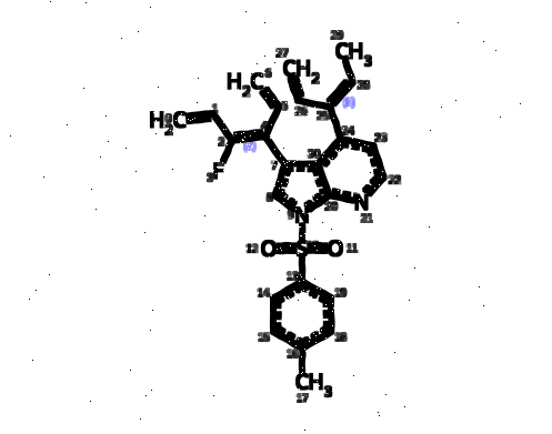 C=C/C(F)=C(\C=C)c1cn(S(=O)(=O)c2ccc(C)cc2)c2nccc(/C(C=C)=C/C)c12